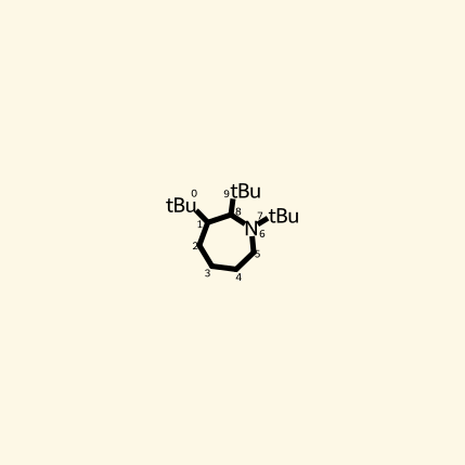 CC(C)(C)C1CCCCN(C(C)(C)C)C1C(C)(C)C